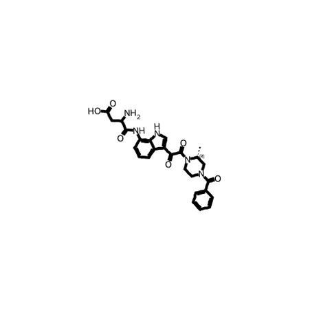 C[C@@H]1CN(C(=O)c2ccccc2)CCN1C(=O)C(=O)c1c[nH]c2c(NC(=O)C(N)CC(=O)O)cccc12